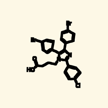 O=C(O)CCCn1c(-c2ccc(Cl)cc2)nc(-c2ccc(Br)cc2)c1-c1ccc(Br)cc1